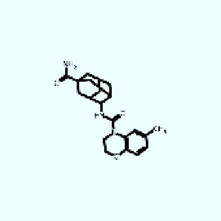 Cc1ccc2c(c1)N(C(=O)NC1C3CC4CC1CC(C(N)=O)(C4)C3)CCO2